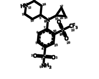 NS(=O)(=O)c1ccc(N(C2CCNCC2)C2CC2)c(S(=O)(=O)C(F)(F)F)c1